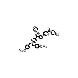 CCN1CCN(C(=O)c2ccc(N3CCc4c(-c5cnc(N(Cc6ccc(OC)cc6)Cc6ccc(OC)cc6)nc5)nc(N5CCOCC5)nc43)cn2)CC1